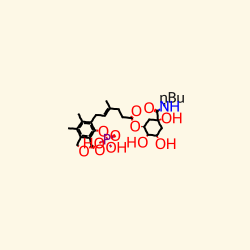 CCCCNC(=O)[C@]1(O)C[C@@H](O)[C@@H](O)[C@H](OC(=O)CC/C(C)=C/Cc2c(C)c(C)c3c(c2OP(=O)(O)O)C(=O)OC3)C1